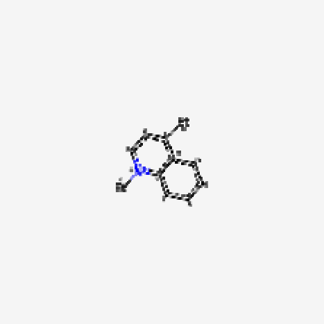 CCc1cc[n+](CC)c2ccccc12